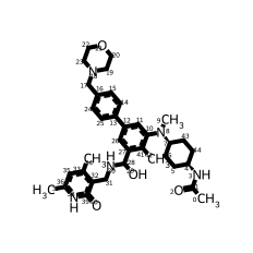 CC(=O)N[C@H]1CC[C@@H](N(C)c2cc(-c3ccc(CN4CCOCC4)cc3)cc(C(O)NCc3c(C)cc(C)[nH]c3=O)c2C)CC1